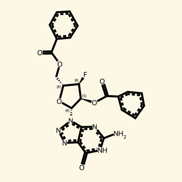 Nc1nc2c(nnn2[C@@H]2O[C@H](COC(=O)c3ccccc3)[C@@H](F)[C@H]2OC(=O)c2ccccc2)c(=O)[nH]1